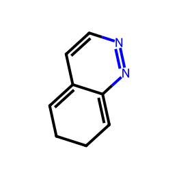 C1=c2ccnnc2=CCC1